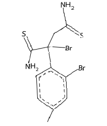 Cc1ccc(C(Br)(CC(N)=S)C(N)=S)c(Br)c1